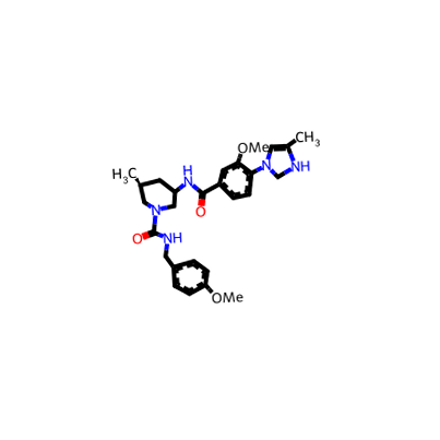 COc1ccc(CNC(=O)N2CC(NC(=O)c3ccc(N4C=C(C)NC4)c(OC)c3)C[C@H](C)C2)cc1